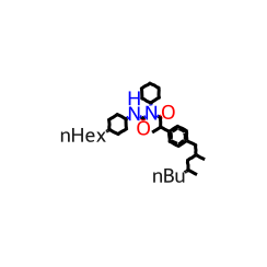 CCCCCCC1CCC(NC(=O)N(C(=O)C(C)c2ccc(CC(C)CC(C)CCCC)cc2)C2CCCCC2)CC1